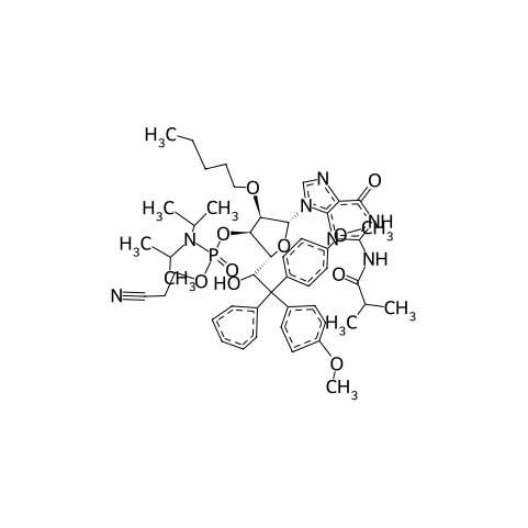 CCCCCO[C@@H]1[C@H](OP(=O)(OCCC#N)N(C(C)C)C(C)C)[C@@H](C(O)C(c2ccccc2)(c2ccc(OC)cc2)c2ccc(OC)cc2)O[C@H]1n1cnc2c(=O)[nH]c(NC(=O)C(C)C)nc21